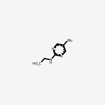 CC(C)(C)c1cnc(NCC(=O)O)nc1